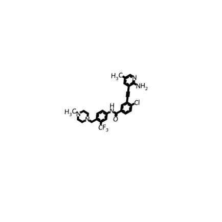 Cc1cnc(N)c(C#Cc2cc(C(=O)Nc3ccc(CN4CCN(C)CC4)c(C(F)(F)F)c3)ccc2Cl)c1